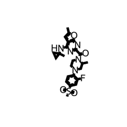 Cc1cc2c(NC3(C)CC3)nc(C(=O)N3CCN(c4ccc(S(C)(=O)=O)cc4F)CC3C)nc2o1